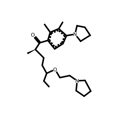 CCC(CC[C@@H](C)C(=O)c1ccc(N2CCCC2)c(C)c1C)OCCN1CCCC1